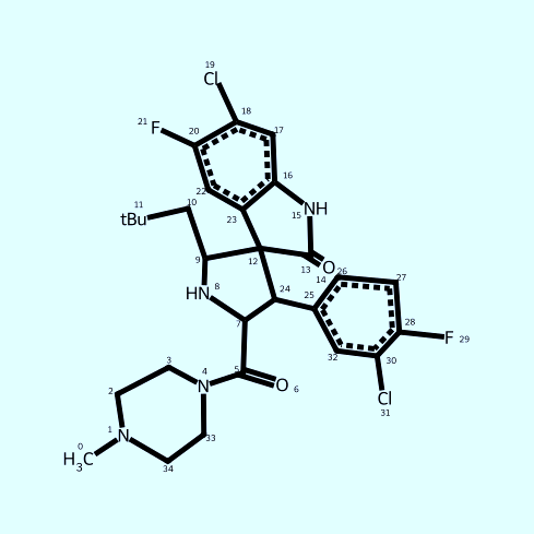 CN1CCN(C(=O)C2NC(CC(C)(C)C)C3(C(=O)Nc4cc(Cl)c(F)cc43)C2c2ccc(F)c(Cl)c2)CC1